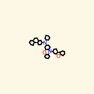 c1ccc(N(c2ccc3c(c2)Oc2ccccc2N3c2ccc3c(c2)oc2ccccc23)c2ccc3c(ccc4ccccc43)c2)cc1